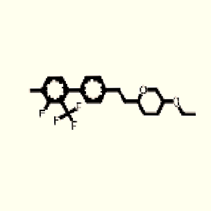 CCOC1CCC(CCc2ccc(-c3ccc(C)c(F)c3C(F)(F)F)cc2)OC1